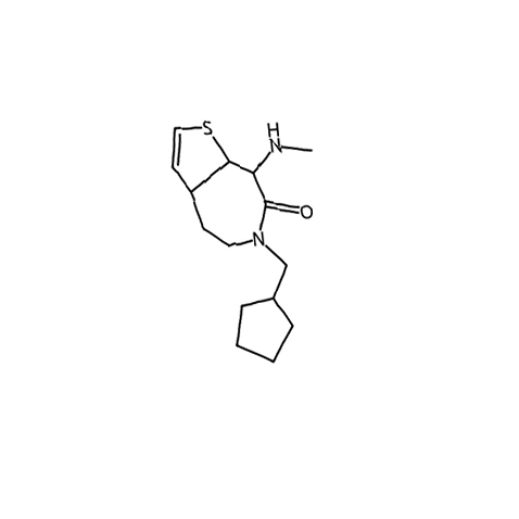 CNC1C(=O)N(CC2CCCC2)CCC2C=CSC21